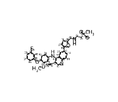 COc1cc(Nc2c(C#N)cnc3ccc(-c4ccc(CNCCS(C)(=O)=O)o4)cc23)ccc1Oc1cccc(F)c1